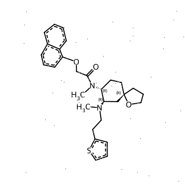 CN(CCc1cccs1)[C@@H]1C[C@]2(CCCO2)CC[C@H]1N(C)C(=O)COc1cccc2ccccc12